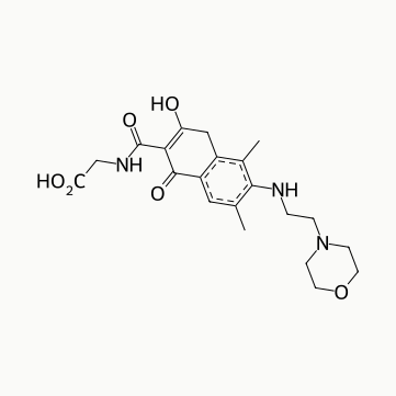 Cc1cc2c(c(C)c1NCCN1CCOCC1)CC(O)=C(C(=O)NCC(=O)O)C2=O